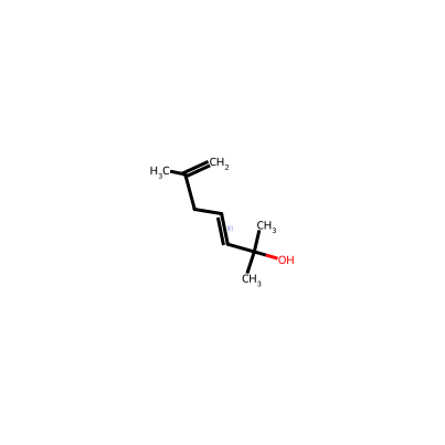 C=C(C)C/C=C/C(C)(C)O